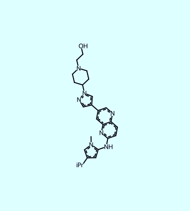 CC(C)c1cc(Nc2ccc3ncc(-c4cnn(C5CCN(CCO)CC5)c4)cc3n2)n(C)c1